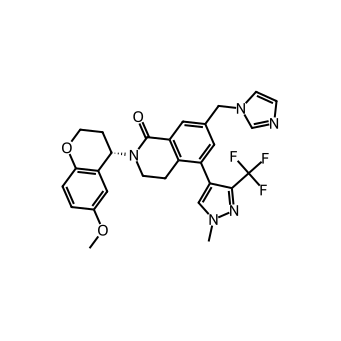 COc1ccc2c(c1)[C@@H](N1CCc3c(cc(Cn4ccnc4)cc3-c3cn(C)nc3C(F)(F)F)C1=O)CCO2